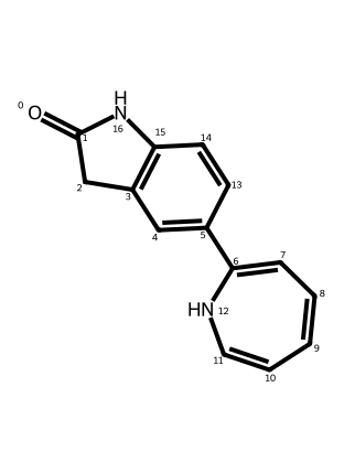 O=C1Cc2cc(C3=CC=CC=CN3)ccc2N1